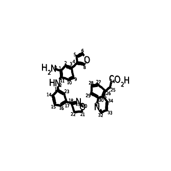 Nc1cc(-c2ccoc2)ccc1Nc1cccc(C2=NOCC2)c1.O=C(O)Cc1cccc2ncccc12